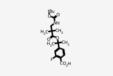 CC(C)(C)OC(=O)NCC(C)(C)C(=O)OC(C)(C)c1ccc(C(=O)O)c(F)c1